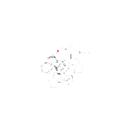 CC1(CC(N)=O)c2cccc(c2)[C@]1(C(=O)NC(=O)O)N1CCCC1[C@H]1CC[C@@H](C2CCCN2[C@@]2(C(=O)NC(=O)O)c3cccc(c3)C2(C)CC(N)=O)N1c1ccc(C(F)(F)F)cc1